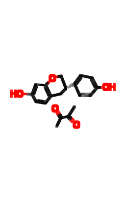 CC(=O)C(C)=O.Oc1ccc([C@H]2COc3cc(O)ccc3C2)cc1